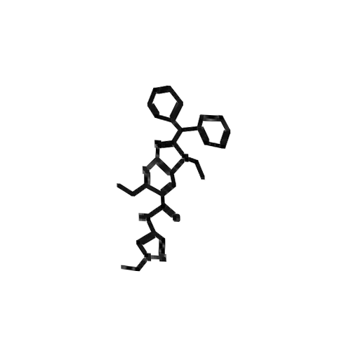 CCc1nc2nc(C(c3ccccc3)c3ccccc3)n(CC)c2cc1C(=O)Nc1cnn(CC)c1